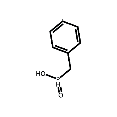 O=[PH](O)Cc1cc[c]cc1